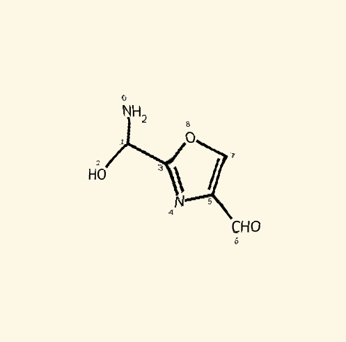 NC(O)c1nc(C=O)co1